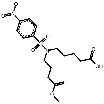 COC(=O)CCCN(CCCCC(=O)O)S(=O)(=O)c1ccc([N+](=O)[O-])cc1